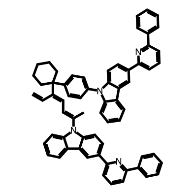 C=C/C(=C\C=C(/C)n1c2ccccc2c2cc(-c3cccc(-c4ccccc4)n3)ccc21)C1(c2ccc(-n3c4ccccc4c4cc(-c5cccc(-c6ccccc6)n5)ccc43)cc2)CCCCC1